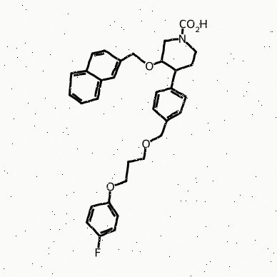 O=C(O)N1CCC(c2ccc(COCCCOc3ccc(F)cc3)cc2)C(OCc2ccc3ccccc3c2)C1